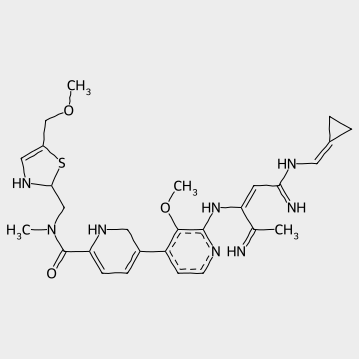 COCC1=CNC(CN(C)C(=O)C2=CC=C(c3ccnc(N/C(=C/C(=N)NC=C4CC4)C(C)=N)c3OC)CN2)S1